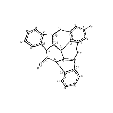 Cc1cc2c3c(c1)CC1=C4C(C(=O)C5C(=C(C2)c2ccccc25)C43)c2ccccc21